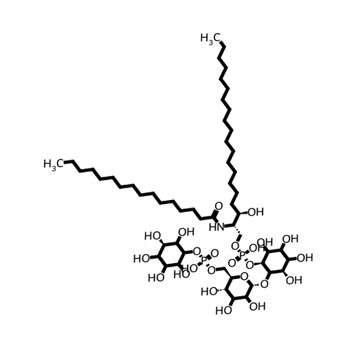 CCCCCCCCCCCCCCCCC[C@@H](O)[C@H](COP(=O)(O)O[C@H]1C(O)C(O)C(O)[C@@H](O)C1O[C@H]1O[C@H](COP(=O)(O)OC2C(O)C(O)C(O)[C@@H](O)C2O)[C@@H](O)C(O)C1O)NC(=O)CCCCCCCCCCCCCCC